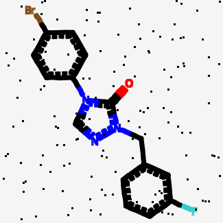 O=c1n(-c2ccc(Br)cc2)cnn1Cc1cccc(F)c1